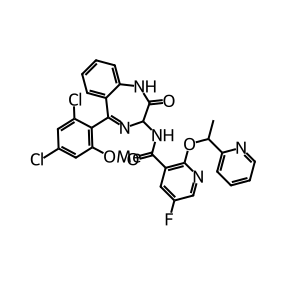 COc1cc(Cl)cc(Cl)c1C1=NC(NC(=O)c2cc(F)cnc2OC(C)c2ccccn2)C(=O)Nc2ccccc21